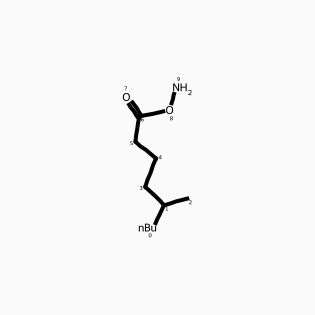 CCCCC(C)CCCC(=O)ON